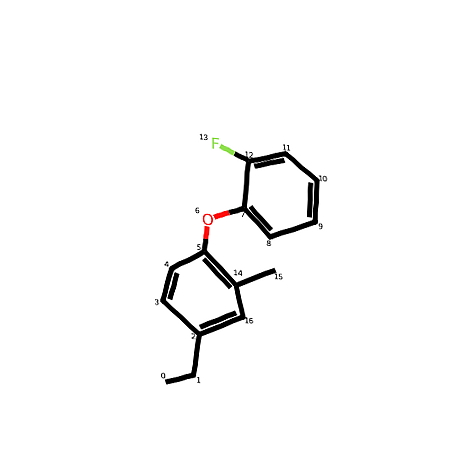 CCc1ccc(Oc2ccccc2F)c(C)c1